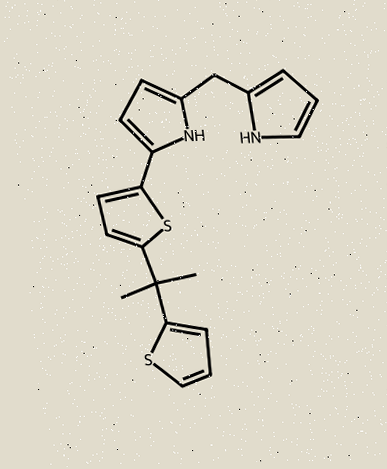 CC(C)(c1cccs1)c1ccc(-c2ccc(Cc3ccc[nH]3)[nH]2)s1